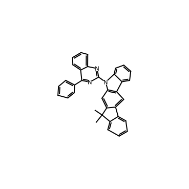 CC1(C)c2ccccc2-c2cc3c4ccccc4n(-c4nc(-c5ccccc5)c5ccccc5n4)c3cc21